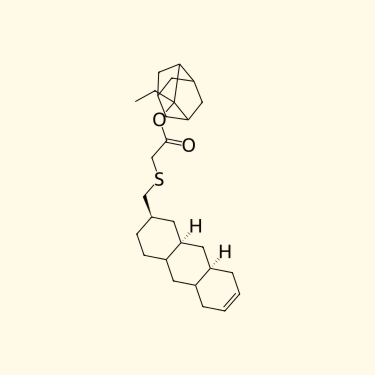 CCC1(OC(=O)CSC[C@@H]2CCC3CC4CC=CC[C@@H]4C[C@@H]3C2)C2CC3CC(C2)C1C3